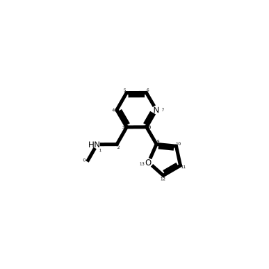 CNCc1cccnc1-c1ccco1